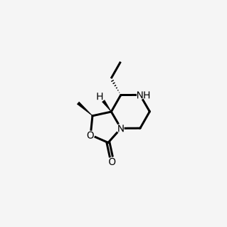 CC[C@@H]1NCCN2C(=O)O[C@@H](C)[C@H]12